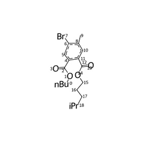 CCCCOC(=O)c1cc(Br)c(C)cc1C(=O)OCCCC(C)C